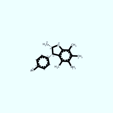 Cc1c(C)c2c(c(C)c1N)[C@H](c1ccc(C(C)C)cc1)[C@H](C)O2